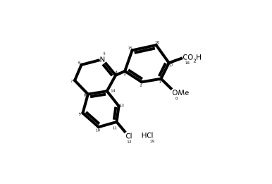 COc1cc(C2=NCCc3ccc(Cl)cc32)ccc1C(=O)O.Cl